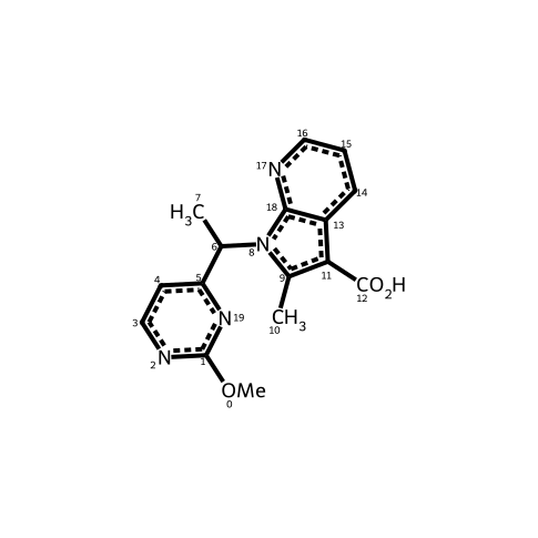 COc1nccc(C(C)n2c(C)c(C(=O)O)c3cccnc32)n1